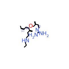 C=C(/C=C\N=C(N)N)CO/C(=C/C=C\C)C(=C)CCCNCCC